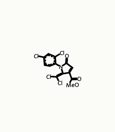 COC(=O)C1=CC(=O)N(c2ccc(Cl)cc2Cl)C1=C(Cl)Cl